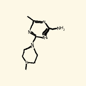 Cc1nc(N)nc(N2CCN(C)CC2)n1